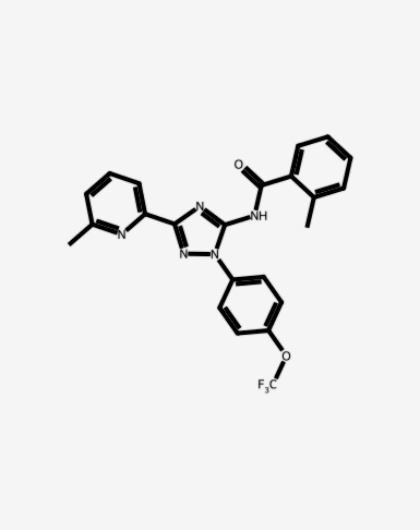 Cc1cccc(-c2nc(NC(=O)c3ccccc3C)n(-c3ccc(OC(F)(F)F)cc3)n2)n1